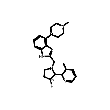 CC1C=CC=NC1[C@H]1[C@@H](F)CCN1Cc1nc2c(N3CCN(C)CC3)cccc2[nH]1